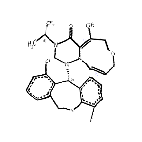 C[C@@H](N1CN([C@@H]2c3cccc(F)c3SCc3cccc(Cl)c32)N2/C=C\COC/C(O)=C\2C1=O)C(F)(F)F